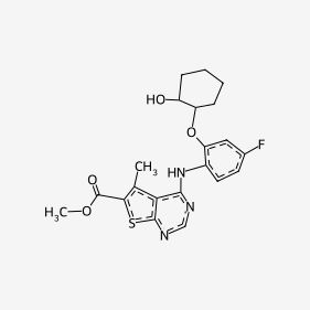 COC(=O)c1sc2ncnc(Nc3ccc(F)cc3OC3CCCCC3O)c2c1C